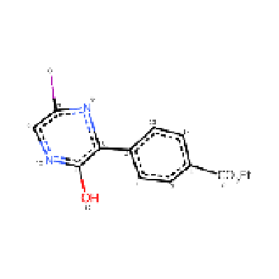 CCOC(=O)c1ccc(-c2nc(I)cnc2O)cc1